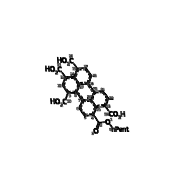 CCCCCOC(=O)c1ccc2c3c(C(=O)O)cc(C(=O)O)c4c(C(=O)O)ccc(c5ccc(C(=O)O)c1c52)c43